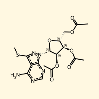 CSc1nn([C@@H]2O[C@H](COC(C)=O)[C@@H](OC(C)=O)[C@H]2OC(C)=O)c2ncnc(N)c12